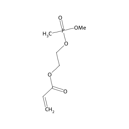 C=CC(=O)OCCOP(C)(=O)OC